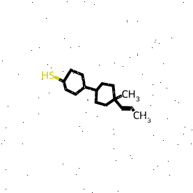 C/C=C/C1(C)CCC(C2CCC(S)CC2)CC1